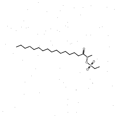 CCCCCCCCCCCCCCCC(=O)N(C)OS(=O)(=O)CC